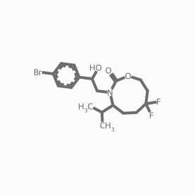 CC(C)C1CCC(F)(F)CCOC(=O)N1CC(O)c1ccc(Br)cc1